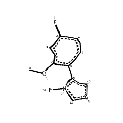 COc1cc(F)ccc1-c1cncn1F